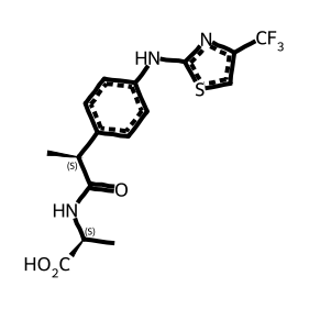 C[C@H](NC(=O)[C@@H](C)c1ccc(Nc2nc(C(F)(F)F)cs2)cc1)C(=O)O